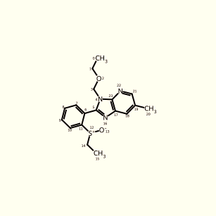 CCOCn1c(-c2ccccc2[S+]([O-])CC)nc2cc(C)cnc21